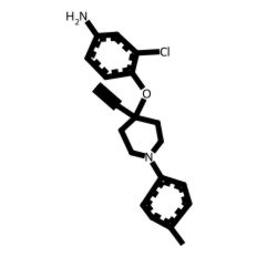 C#CC1(Oc2ccc(N)cc2Cl)CCN(c2ccc(C)cc2)CC1